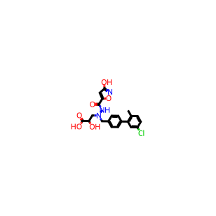 Cc1ccc(Cl)cc1-c1ccc(CN(CC(O)C(=O)O)NC(=O)c2cc(O)no2)cc1